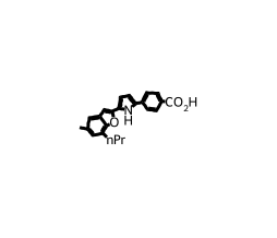 CCCc1cc(C)cc2cc(-c3ccc(-c4ccc(C(=O)O)cc4)[nH]3)oc12